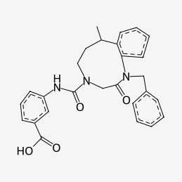 CC1CCN(C(=O)Nc2cccc(C(=O)O)c2)CC(=O)N(Cc2ccccc2)c2ccccc21